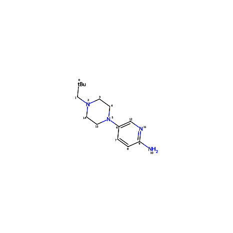 CC(C)(C)CN1CCN(c2ccc(N)nc2)CC1